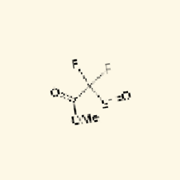 COC(=O)C(F)(F)[S+]=O